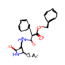 CC(=O)OC1NC(=O)C1NC(=O)C(C(=O)OCc1ccccc1)c1ccccc1